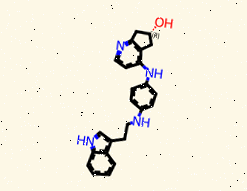 O[C@H]1Cc2nccc(Nc3ccc(NCCc4c[nH]c5ccccc45)cc3)c2C1